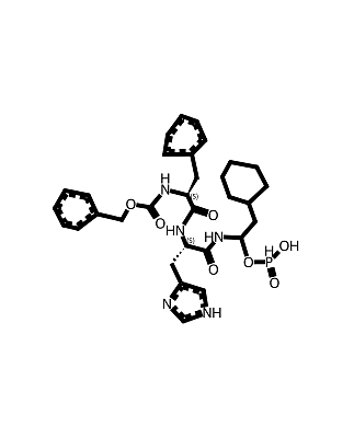 O=C(N[C@@H](Cc1ccccc1)C(=O)N[C@@H](Cc1c[nH]cn1)C(=O)NC(CC1CCCCC1)O[PH](=O)O)OCc1ccccc1